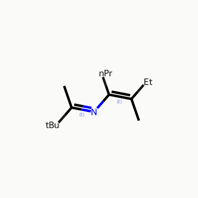 CCCC(/N=C(\C)C(C)(C)C)=C(/C)CC